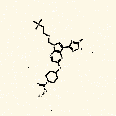 Cc1nc(-c2cn(COCC[Si](C)(C)C)c3ncc(OC4CCN(C(=O)OC(C)(C)C)CC4)nc23)n[nH]1